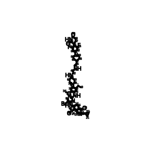 CCc1cc(Nc2ncc(Br)c(Nc3ccc4c(=O)n(C5CC5)ncc4c3P(C)(C)=O)n2)c(OC)cc1N1CCC(NCCNCCC2CCN(c3cc(F)c([C@H]4CCC(=O)NC4=O)c(F)c3)CC2)CC1